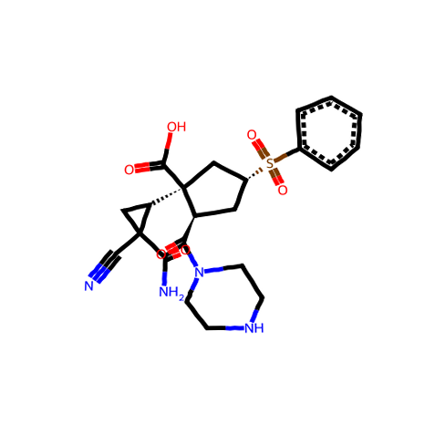 N#CC1(C(N)=O)CC1[C@]1(C(=O)O)C[C@H](S(=O)(=O)c2ccccc2)C[C@H]1C(=O)N1CCNCC1